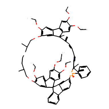 C=CC1(C)/C=C\C=C/C(=C)C2(CC)c3cc(OCC(C)CC)c(OCC(C)CC)cc3-c3cc(OCC(C)CC)c(cc32)OCC(C)CCCC(C)COc2cc3c(cc2OCC(C)CC)-c2cc(OCC(C)CC)c(OCC(C)CC)cc2C32c3ccccc3-c3ccc(cc32)P1(=O)c1ccccc1